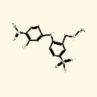 CNCc1cc(S(N)(=O)=O)ccc1Oc1ccc([N+](=O)[O-])c(C)c1